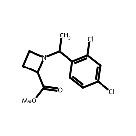 COC(=O)C1CCN1C(C)c1ccc(Cl)cc1Cl